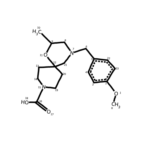 COc1ccc(CN2CC(C)OC3(CCN(C(=O)O)CC3)C2)cc1